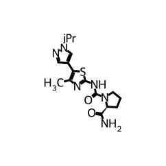 Cc1nc(NC(=O)N2CCC[C@H]2C(N)=O)sc1-c1cnn(C(C)C)c1